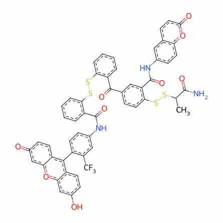 CC(SSc1ccc(C(=O)c2ccccc2SSc2ccccc2C(=O)Nc2ccc(-c3c4ccc(=O)cc-4oc4cc(O)ccc34)c(C(F)(F)F)c2)cc1C(=O)Nc1ccc2oc(=O)ccc2c1)C(N)=O